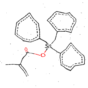 C=C(C)C(=O)[O][Sn]([c]1ccccc1)([c]1ccccc1)[c]1ccccc1